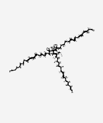 CCCCCCCCCCCCCCCCCC(=O)C(N)(C(=O)CCCCCCCCCCCCCCCCC)C(N)C(=O)CCCCCCCCCCCCCCC